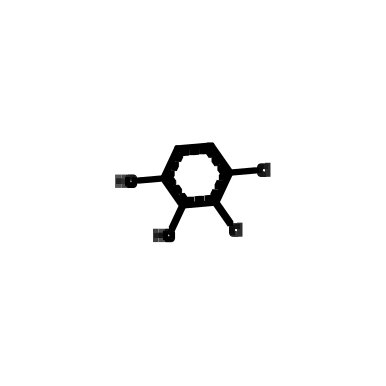 Oc1ccc(Cl)c(Cl)c1O